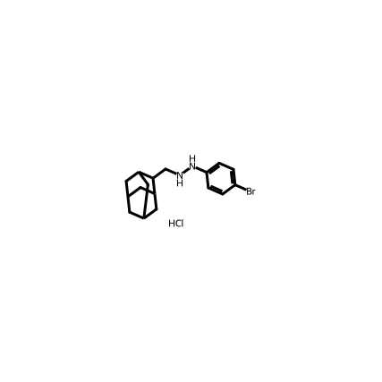 Brc1ccc(NNCC2C3CC4CC(C3)CC2C4)cc1.Cl